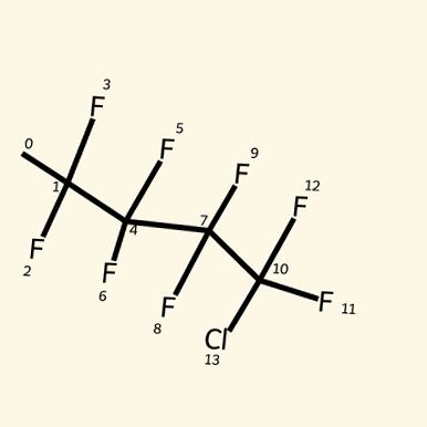 CC(F)(F)C(F)(F)C(F)(F)C(F)(F)Cl